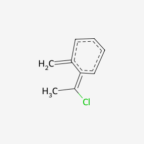 C=c1cccc/c1=C(/C)Cl